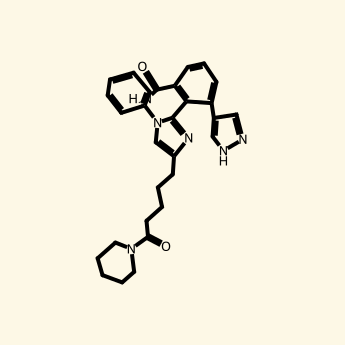 NC(=O)c1cccc(-c2cn[nH]c2)c1-c1nc(CCCCC(=O)N2CCCCC2)cn1-c1ccccc1